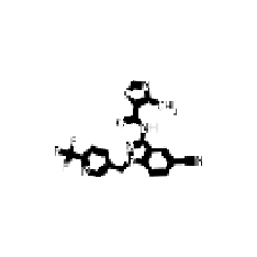 Cc1ncsc1C(=O)Nc1nn(Cc2ccc(C(F)(F)F)nc2)c2ccc(C#N)cc12